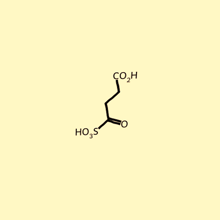 O=C(O)CCC(=O)S(=O)(=O)O